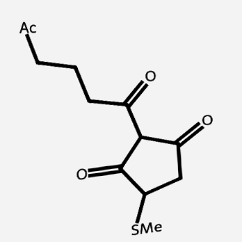 CSC1CC(=O)C(C(=O)CCCC(C)=O)C1=O